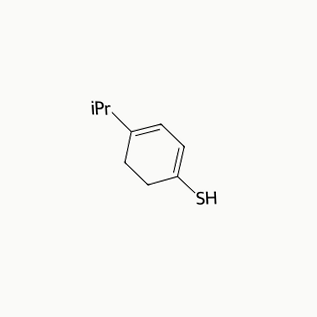 CC(C)C1=CC=C(S)CC1